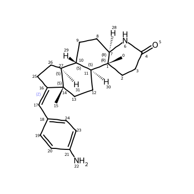 C[C@]12CCC(=O)N[C@@H]1CC[C@@H]1[C@@H]2CC[C@]2(C)/C(=C\c3ccc(N)cc3)CC[C@@H]12